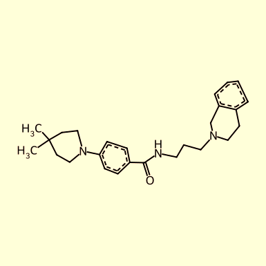 CC1(C)CCN(c2ccc(C(=O)NCCCN3CCc4ccccc4C3)cc2)CC1